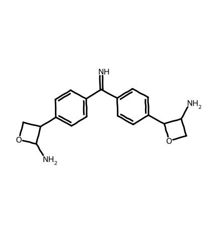 N=C(c1ccc(C2COC2N)cc1)c1ccc(C2OCC2N)cc1